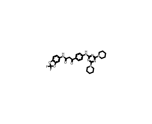 O=C(CC(=O)c1ccc(Nc2nc(N3CCCCC3)nc(N3CCCCC3)n2)cc1)Nc1ccc2c(c1)OC(F)(F)O2